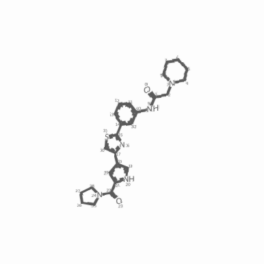 O=C(CN1CCCCC1)Nc1cccc(-c2nc(-c3c[nH]c(C(=O)N4CCCC4)c3)cs2)c1